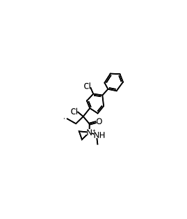 [CH2]CC(Cl)(C(=O)[N+]1(NC)CC1)c1ccc(-c2ccccc2)c(Cl)c1